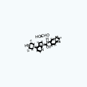 C[C@@H]1CN(c2ccnc3c2CCN3C(=O)Nc2cn3ncnc3cc2F)C[C@H](C)N1.O=CO